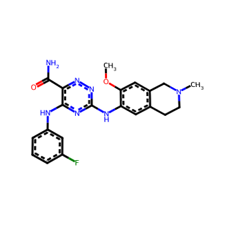 COc1cc2c(cc1Nc1nnc(C(N)=O)c(Nc3cccc(F)c3)n1)CCN(C)C2